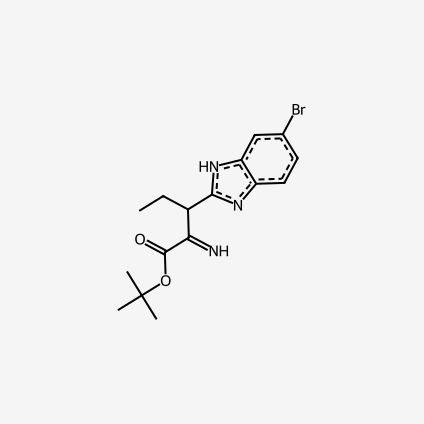 CCC(C(=N)C(=O)OC(C)(C)C)c1nc2ccc(Br)cc2[nH]1